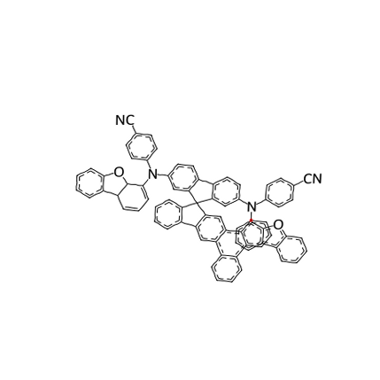 N#Cc1ccc(N(C2=CC=CC3c4ccccc4OC23)c2ccc3c(c2)C2(c4ccccc4-c4cc5c6ccccc6c6ccccc6c5cc42)c2cc(N(c4ccc(C#N)cc4)c4cccc5c4oc4ccccc45)ccc2-3)cc1